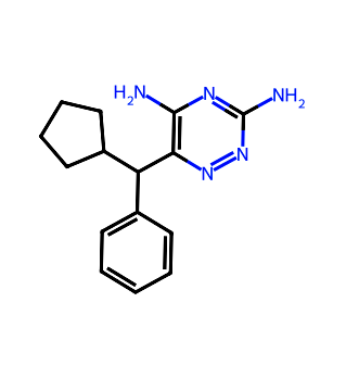 Nc1nnc(C(c2ccccc2)C2CCCC2)c(N)n1